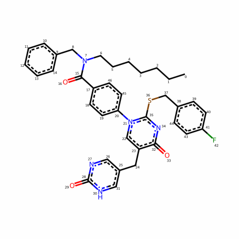 CCCCCCCN(Cc1ccccc1)C(=O)c1ccc(-n2cc(Cc3cnc(=O)[nH]c3)c(=O)nc2SCc2ccc(F)cc2)cc1